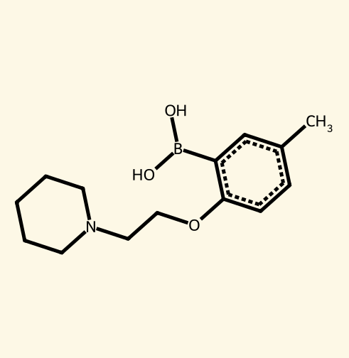 Cc1ccc(OCCN2CCCCC2)c(B(O)O)c1